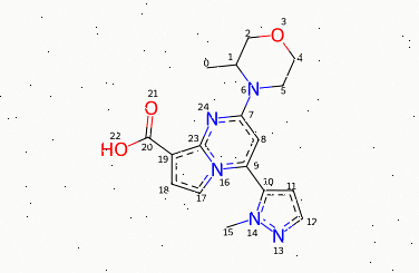 CC1COCCN1c1cc(-c2ccnn2C)n2ccc(C(=O)O)c2n1